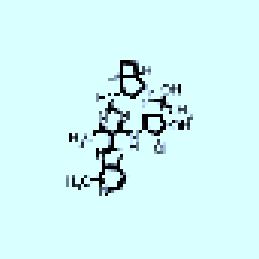 Cc1nc(N[C@@H]2CC[C@H]3CC[C@H]32)nc(N[C@@H]2C[C@H](C(C)(C)O)[C@@H](O)[C@H]2O)c1-c1nc2c(C)nccc2s1